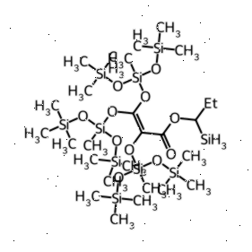 CCC([SiH3])OC(=O)C(O[Si](C)(O[Si](C)(C)C)O[Si](C)(C)C)=C(O[Si](C)(O[Si](C)(C)C)O[Si](C)(C)C)O[Si](C)(O[Si](C)(C)C)O[Si](C)(C)C